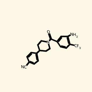 N#Cc1ccc(C2CCN(C(=O)c3ccc(C(F)(F)F)c(N)c3)CC2)cc1